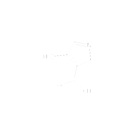 CC1=C([S+](C)[O-])CN=C1